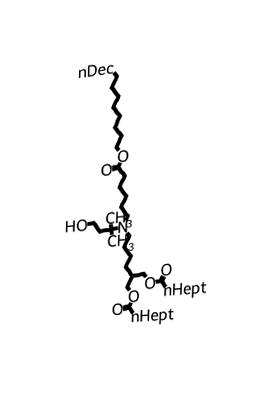 CCCCCCCCCCCCCCCCCCOC(=O)CCCCCN(CCCCC(COC(=O)CCCCCCC)COC(=O)CCCCCCC)C(C)(C)CCO